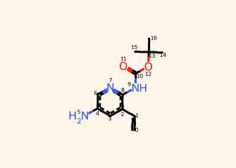 C=Cc1cc(N)cnc1NC(=O)OC(C)(C)C